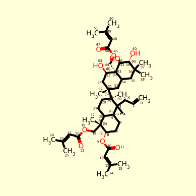 C=CCC12C[C@@]13CC[C@H](OC(=O)C=C(C)C)[C@](C)(COC(=O)C=C(C)C)C3CC[C@@]2(C)[C@@]1(C)CC2CC(C)(C)[C@@H](O)[C@H](O)[C@]2(COC(=O)C=C(C)C)[C@H](O)C1